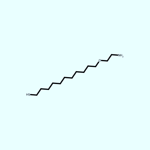 NCCOCCCCCCCCCCCS